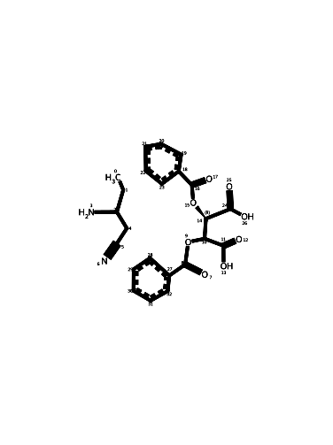 CCC(N)CC#N.O=C(OC(C(=O)O)[C@@H](OC(=O)c1ccccc1)C(=O)O)c1ccccc1